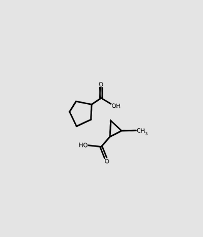 CC1CC1C(=O)O.O=C(O)C1CCCC1